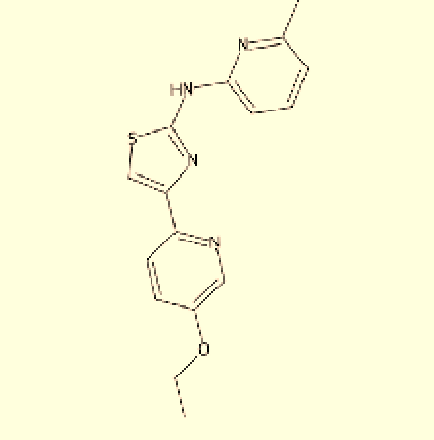 CCOc1ccc(-c2csc(Nc3cccc(C)n3)n2)nc1